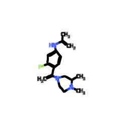 C=C(C)Nc1ccc(C(=C)N2CCN(C)C(C)C2)c(F)c1